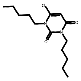 CCCCCn1c(Cl)cc(=O)n(CCCCC)c1=O